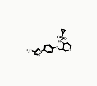 Cc1cnn(-c2ccc(OCC3COCCC3NS(=O)(=O)C3CC3)cc2)c1